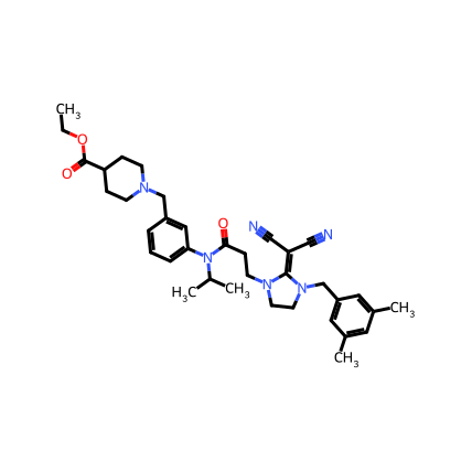 CCOC(=O)C1CCN(Cc2cccc(N(C(=O)CCN3CCN(Cc4cc(C)cc(C)c4)C3=C(C#N)C#N)C(C)C)c2)CC1